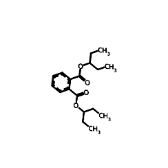 CCC(CC)OC(=O)c1ccccc1C(=O)OC(CC)CC